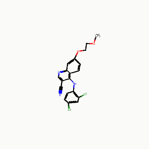 COCCOc1ccc2c(Nc3ccc(Cl)cc3Cl)c(C#N)cnc2c1